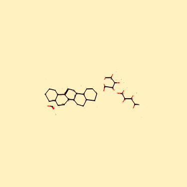 COC(C)C(O)C(O)C(O)OC1C(O[C@H]2CC[C@@]3(C)C(CC[C@]4(C)C3CC=C3[C@@H]5C[C@@H](C)CC[C@]5(C(=O)O)CC[C@]34C)[C@H]2C)OCC(O)C1O